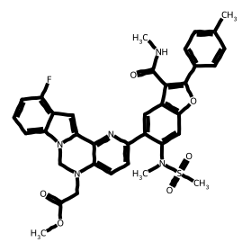 CNC(=O)c1c(-c2ccc(C)cc2)oc2cc(N(C)S(C)(=O)=O)c(-c3ccc4c(n3)-c3cc5c(F)cccc5n3CN4CC(=O)OC)cc12